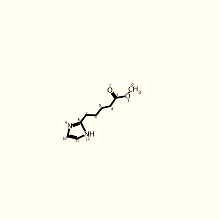 COC(=O)CCCCc1ncc[nH]1